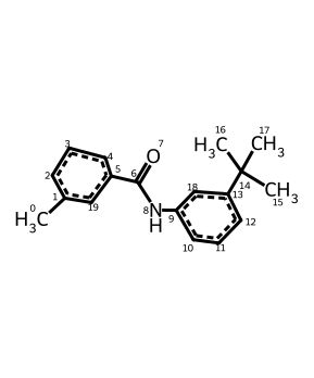 Cc1cccc(C(=O)Nc2cccc(C(C)(C)C)c2)c1